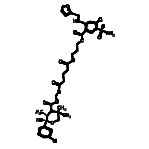 C[C@@H]1N(C(=O)OCOC(=O)CCCC(=O)OCCCOC(=O)c2cc(S(N)(=O)=O)c(Cl)cc2NCc2ccco2)C(C)(C)CO[C@@]1(O)c1cccc(Cl)c1